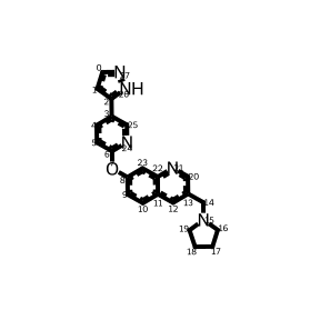 c1cc(-c2ccc(Oc3ccc4cc(CN5CCCC5)cnc4c3)nc2)[nH]n1